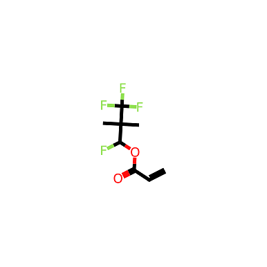 C=CC(=O)OC(F)C(C)(C)C(F)(F)F